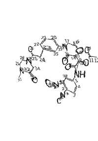 [C-]#[N+]c1ccc(NC(=O)[C@H](OC(C)=O)[C@H]2OCCN(c3cccc(CC(=O)N4CCN(C)C(=O)C4)c3)C2=O)cc1[N+]#[C-]